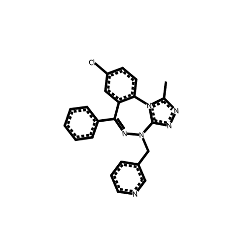 Cc1nnc2n1-c1ccc(Cl)cc1C(c1ccccc1)=NN2Cc1cccnc1